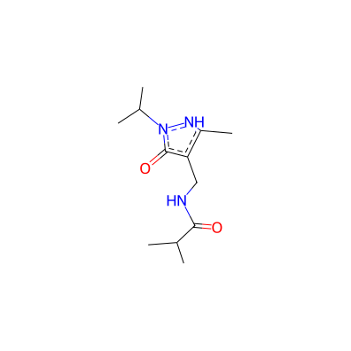 Cc1[nH]n(C(C)C)c(=O)c1CNC(=O)C(C)C